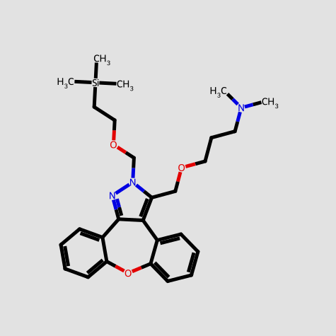 CN(C)CCCOCc1c2c(nn1COCC[Si](C)(C)C)-c1ccccc1Oc1ccccc1-2